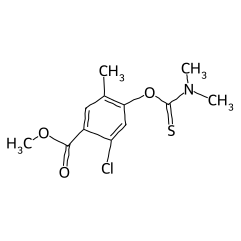 COC(=O)c1cc(C)c(OC(=S)N(C)C)cc1Cl